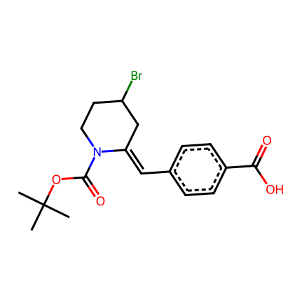 CC(C)(C)OC(=O)N1CCC(Br)CC1=Cc1ccc(C(=O)O)cc1